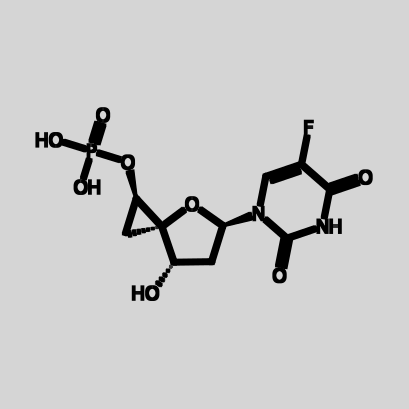 O=c1[nH]c(=O)n([C@H]2C[C@H](O)[C@]3(C[C@H]3OP(=O)(O)O)O2)cc1F